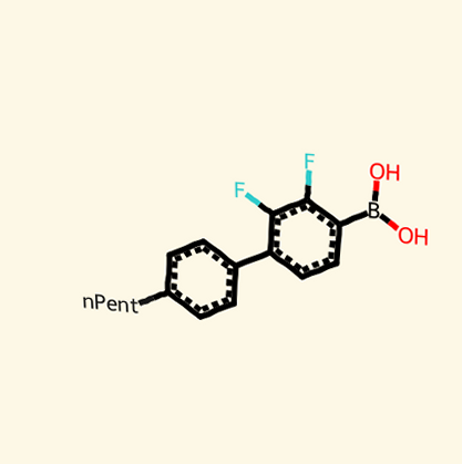 CCCCCc1ccc(-c2ccc(B(O)O)c(F)c2F)cc1